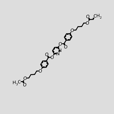 C=CC(=O)OCCCCOc1ccc(C(=O)Oc2ccc(OC(=O)c3ccc(OCCCCOC(C)=O)cc3)nn2)cc1